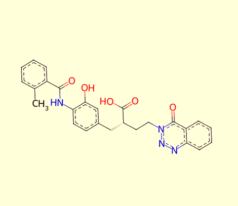 Cc1ccccc1C(=O)Nc1ccc(C[C@@H](CCn2nnc3ccccc3c2=O)C(=O)O)cc1O